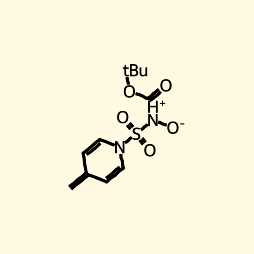 C=C1C=CN(S(=O)(=O)[NH+]([O-])C(=O)OC(C)(C)C)C=C1